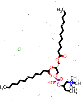 CCCCCCCCCCCC(=O)OC[C@H](COP(=O)(O)OC(CC)C[N+](C)(C)C)OC(=O)CCCCCCCCCCC.[Cl-]